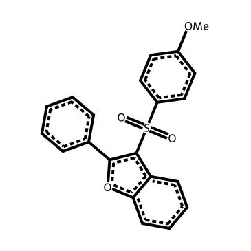 COc1ccc(S(=O)(=O)c2c(-c3ccccc3)oc3ccccc23)cc1